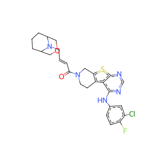 O=C(/C=C/CN1C2CCCC1COC2)N1CCc2c(sc3ncnc(Nc4ccc(F)c(Cl)c4)c23)C1